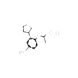 CC(Oc1ccc(Br)cc1C1CCOC1)C(=O)O